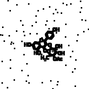 CC(=O)OC1[C@H](C)OC(Oc2c(-c3ccc(O)cc3)oc3cc(O)cc(O)c3c2=O)[C@H](O)[C@@H]1O